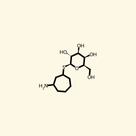 NC1CCCCC(S[C@@H]2O[C@H](CO)[C@H](O)[C@H](O)[C@H]2O)C1